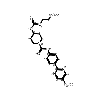 CCCCCCCCCCCCOC(=O)OC1CCN(C(=O)Oc2ccc(-c3ncc(CCCCCCCC)cn3)cc2)CC1